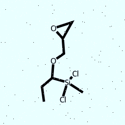 CCC(OCC1CO1)[Si](C)(Cl)Cl